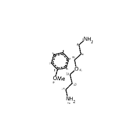 COc1ccccc1.NCCCOCCCN